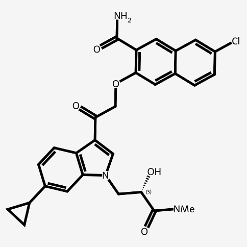 CNC(=O)[C@@H](O)Cn1cc(C(=O)COc2cc3ccc(Cl)cc3cc2C(N)=O)c2ccc(C3CC3)cc21